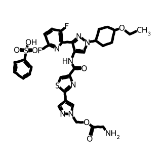 CCOC1CCC(n2cc(NC(=O)c3csc(-c4cnn(COC(=O)CN)c4)n3)c(-c3nc(F)ccc3F)n2)CC1.O=S(=O)(O)c1ccccc1